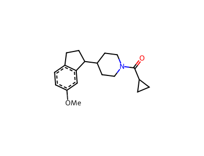 COc1ccc2c(c1)C(C1CCN(C(=O)C3CC3)CC1)CC2